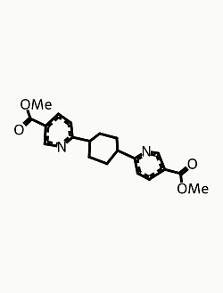 COC(=O)c1ccc(C2CCC(c3ccc(C(=O)OC)cn3)CC2)nc1